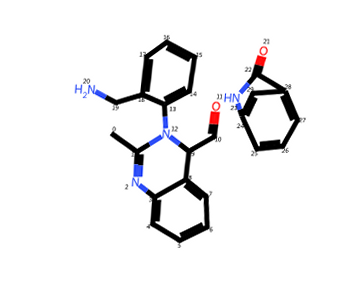 CC1=Nc2ccccc2C(C=O)N1c1ccccc1CN.O=C1Nc2cccc1c2